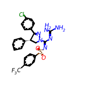 NC(N)=N/C(=N/S(=O)(=O)c1ccc(C(F)(F)F)cc1)N1C[C@H](c2ccccc2)C(c2ccc(Cl)cc2)=N1